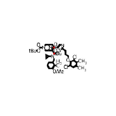 COc1cccc(CN(C(=O)C2=C(c3cnc(CCCOc4c(Cl)cc(C)c(C)c4Cl)s3)CC3CN(C(=O)OC(C)(C)C)CC2N3C(=O)OC(C)(C)C)C2CC2)c1C